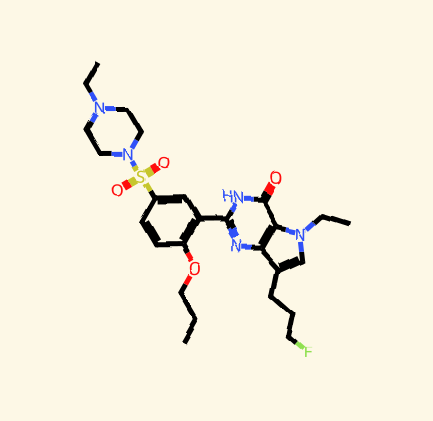 CCCOc1ccc(S(=O)(=O)N2CCN(CC)CC2)cc1-c1nc2c(CCCF)cn(CC)c2c(=O)[nH]1